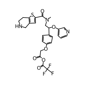 CN(CC(Oc1cccnc1)c1ccc(OCC(=O)OC(=O)C(F)(F)F)cc1)C(=O)c1cc2c(s1)CCNC2